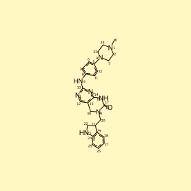 CN1CCN(c2ccc(Nc3ncc4c(n3)NC(=O)N(CC3CNc5ccccc53)C4)cc2)CC1